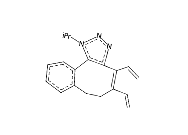 C=C/C1=C(\C=C)c2nnn(C(C)C)c2-c2ccccc2CC1